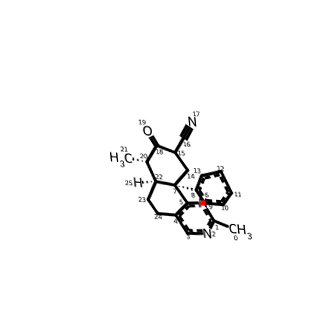 Cc1ncc2c(n1)[C@]1(c3ccccc3)CC(C#N)C(=O)[C@@H](C)[C@@H]1CC2